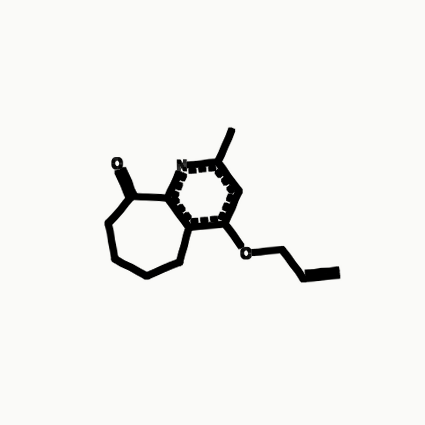 C=CCOc1cc(C)nc2c1CCCCC2=O